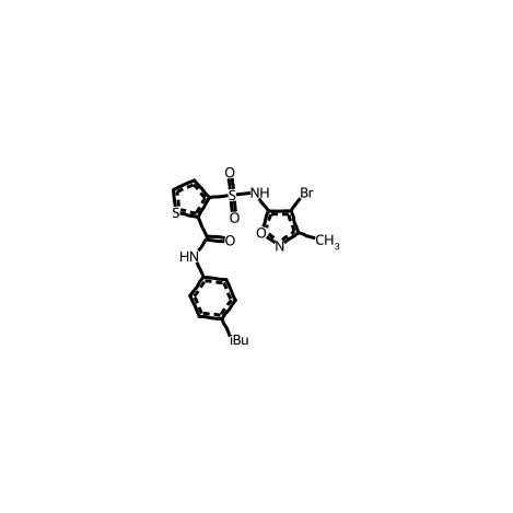 CCC(C)c1ccc(NC(=O)c2sccc2S(=O)(=O)Nc2onc(C)c2Br)cc1